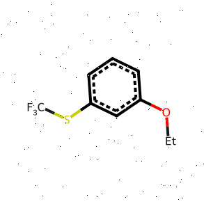 CCOc1[c]c(SC(F)(F)F)ccc1